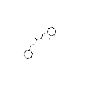 CC(=Cc1cccc(C)c1C)C(=O)OCc1ccccc1